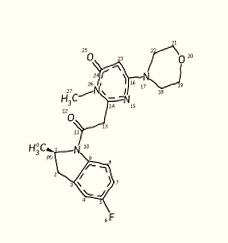 C[C@@H]1Cc2cc(F)ccc2N1C(=O)Cc1nc(N2CCOCC2)cc(=O)n1C